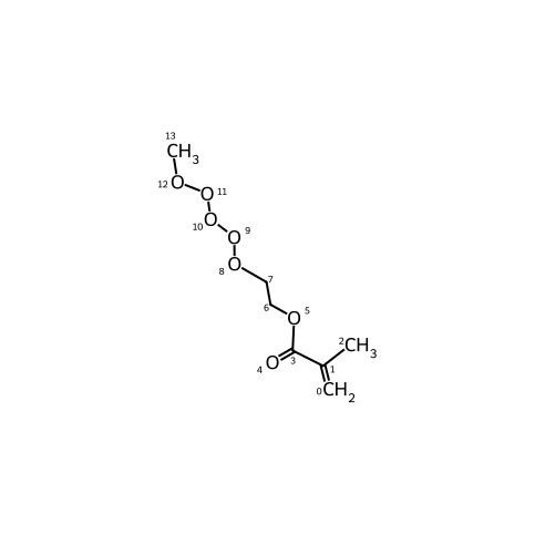 C=C(C)C(=O)OCCOOOOOC